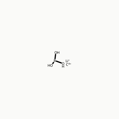 OB(O)O.[C+4].[Li+]